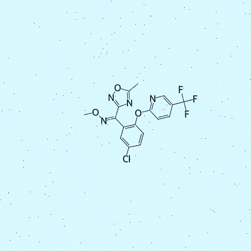 CON=C(c1noc(C)n1)c1cc(Cl)ccc1Oc1ccc(C(F)(F)F)cn1